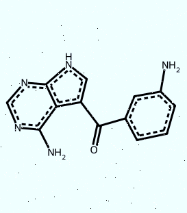 Nc1cccc(C(=O)c2c[nH]c3ncnc(N)c23)c1